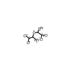 CCCC(OC(CCC)C(Cl)Cl)C(Cl)Cl